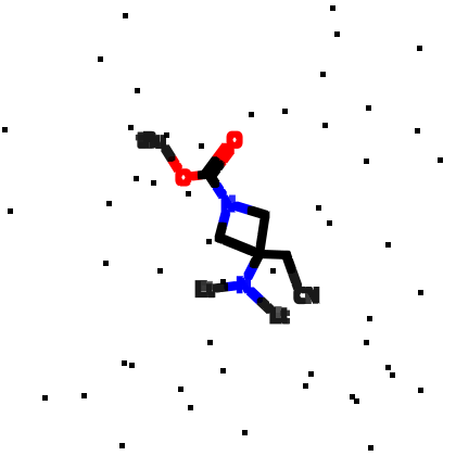 CCN(CC)C1(CC#N)CN(C(=O)OC(C)(C)C)C1